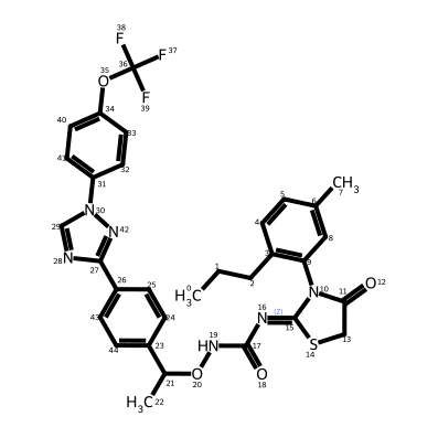 CCCc1ccc(C)cc1N1C(=O)CS/C1=N\C(=O)NOC(C)c1ccc(-c2ncn(-c3ccc(OC(F)(F)F)cc3)n2)cc1